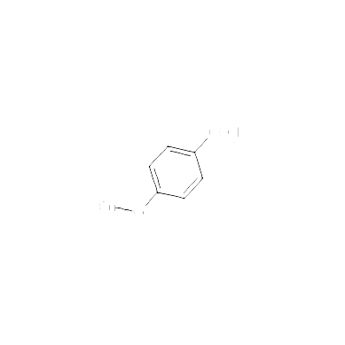 O=C(O)c1ccc([O][Cu])cc1